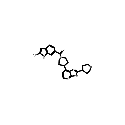 O=C(c1ccc2cc(C(F)(F)F)[nH]c2c1)N1CCC(c2ccnc3[nH]c(C4CCOCC4)nc23)CC1